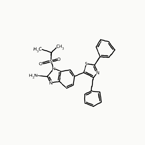 CC(C)S(=O)(=O)n1c(N)nc2ccc(-c3sc(-c4ccccc4)nc3-c3ccccc3)cc21